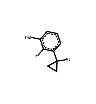 CCC1(c2cccc(C(C)(C)C)c2F)CC1